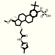 CO/N=C1\C[C@@H](CCC(=O)Nc2ncc(C)s2)C2C3CCc4cc(NS(=O)(=O)O)c(C(C)(C)C)cc4C3CC[C@]12C